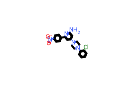 Nc1cc(N2CCN(c3ccccc3Cl)CC2)cc(-c2ccc([N+](=O)[O-])cc2)n1